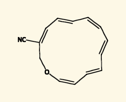 N#C/C1=C/C=C/C=C\C=C\C=C\C=C/OC1